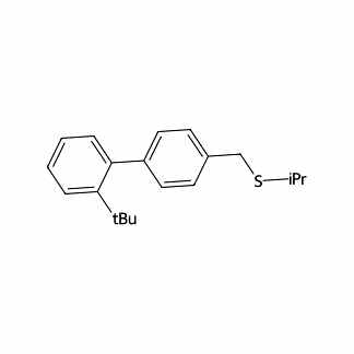 CC(C)SCc1ccc(-c2ccccc2C(C)(C)C)cc1